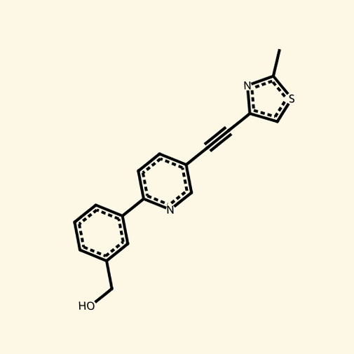 Cc1nc(C#Cc2ccc(-c3cccc(CO)c3)nc2)cs1